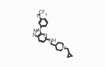 FC(F)(F)Oc1cccc(-n2nnc3ccc(NCC4CCN(CC5CC5)CC4)nc32)c1